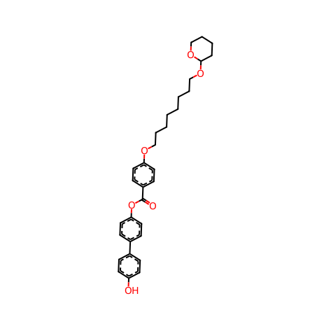 O=C(Oc1ccc(-c2ccc(O)cc2)cc1)c1ccc(OCCCCCCCCOC2CCCCO2)cc1